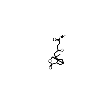 CCCC(=O)CCC(=O)CC1(C)C2CC3CC2C(=O)OC31